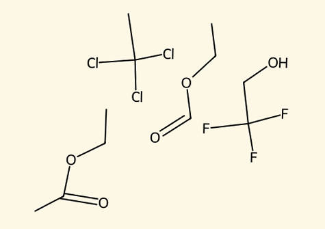 CC(Cl)(Cl)Cl.CCOC(C)=O.CCOC=O.OCC(F)(F)F